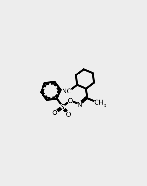 CC(=NOS(=O)(=O)c1ccccc1)C1CCCCC1C#N